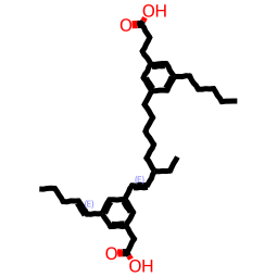 CCC/C=C/c1cc(/C=C/C(CC)CCCCCc2cc(CCCCC)cc(CCC(=O)O)c2)cc(CC(=O)O)c1